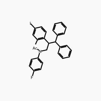 CC(=O)N(CC(c1ccc(I)cc1C)C(c1ccccc1)c1ccccc1)c1ccc(F)cc1